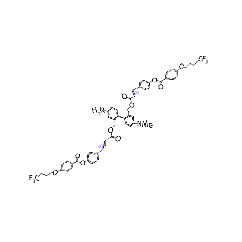 CNc1ccc(-c2ccc(N)cc2COC(=O)/C=C/c2ccc(OC(=O)c3ccc(OCCCC(F)(F)F)cc3)cc2)c(COC(=O)/C=C/c2ccc(OC(=O)c3ccc(OCCCC(F)(F)F)cc3)cc2)c1